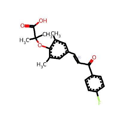 Cc1cc(/C=C/C(=O)c2ccc(F)cc2)cc(C)c1OC(C)(C)C(=O)O